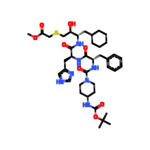 COC(=O)CSC[C@@H](O)[C@H](CC1CCCCC1)NC(=O)[C@H](Cc1c[nH]cn1)NC(=O)[C@H](Cc1ccccc1)NC(=O)N1CCC(NC(=O)OC(C)(C)C)CC1